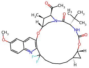 COc1ccc2nc3c(cc2c1)O[C@H]1CN(C(=O)[C@H](C(C)(C)C)NC(=O)O[C@@H]2C[C@H]2CCCCC3(F)F)[C@H](C(C)=O)[C@@H]1C